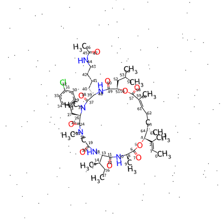 C/C=C(\C)[C@H]1OC(=O)[C@@H](C)NC(=O)[C@H]([C@H](C)CC)NC(=O)CN(C)C(=O)[C@@H](Cc2ccc(Cl)cc2)N(C)C(=O)[C@H](CCCCNC(C)=O)NC(=O)[C@@H](CC(C)C)OC(=O)/C(C)=C/CC[C@@H]1C